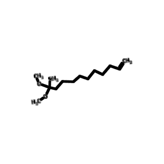 C=CCCCCCCCCC([SiH3])(OC)OC